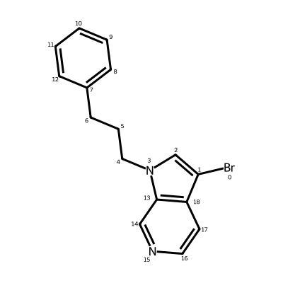 Brc1cn(CCCc2ccccc2)c2cnccc12